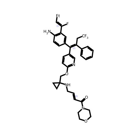 CC/C=C(\F)c1cc(/C(=C(\CC(F)(F)F)c2ccccc2)c2ccc(OCC3(NC/C=C/C(=O)N4CCOCC4)CC3)nc2)ccc1N